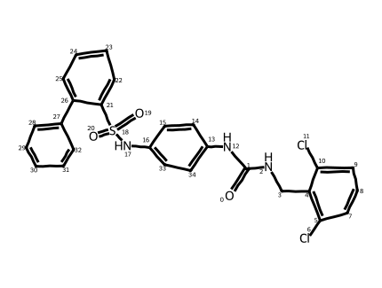 O=C(NCc1c(Cl)cccc1Cl)Nc1ccc(NS(=O)(=O)c2ccccc2-c2ccccc2)cc1